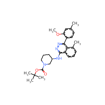 COc1cc(C)ccc1-c1nnc(N[C@@H]2CCCN(C(=O)OC(C)(C)C)C2)c2cccc(C)c12